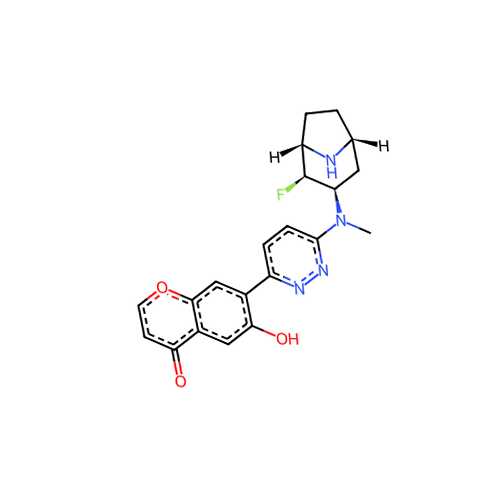 CN(c1ccc(-c2cc3occc(=O)c3cc2O)nn1)[C@@H]1C[C@H]2CC[C@H](N2)[C@@H]1F